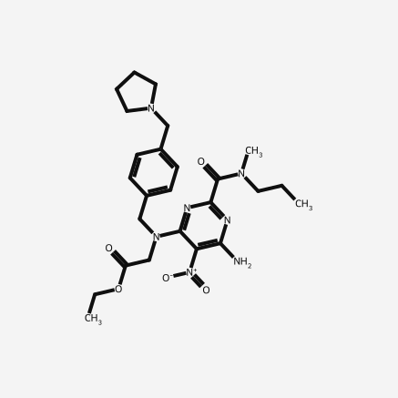 CCCN(C)C(=O)c1nc(N)c([N+](=O)[O-])c(N(CC(=O)OCC)Cc2ccc(CN3CCCC3)cc2)n1